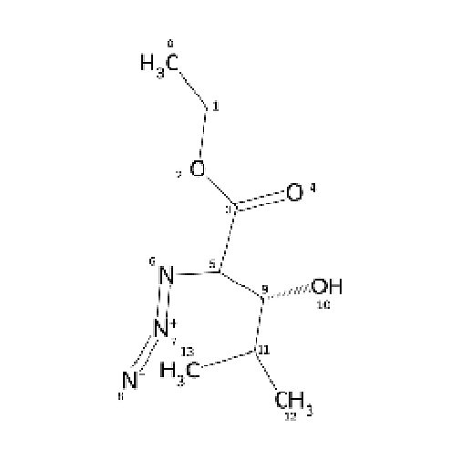 CCOC(=O)C(N=[N+]=[N-])[C@H](O)C(C)C